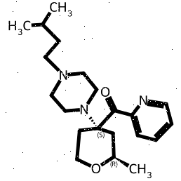 CC(C)CCN1CCN([C@@]2(C(=O)c3ccccn3)CCO[C@H](C)C2)CC1